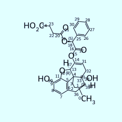 CC1CCC23c4c5ccc(O)c4O[C@H]2C(OC(=O)[C@@H](OC(=O)CCC(=O)O)c2ccccc2)=CC[C@@]3(O)[C@H]1C5